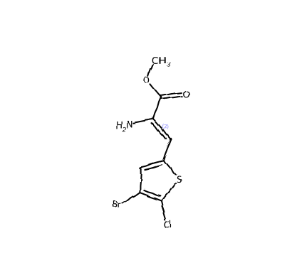 COC(=O)/C(N)=C/c1cc(Br)c(Cl)s1